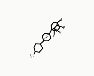 CC1CCC(C23CCC(C45CCC(I)(CC4)C(F)C5(F)F)(CC2)CC3)CC1